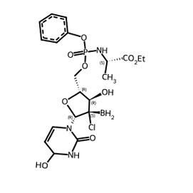 B[C@]1(Cl)[C@H](O)[C@@H](COP(=O)(N[C@@H](C)C(=O)OCC)Oc2ccccc2)O[C@H]1N1C=CC(O)NC1=O